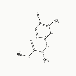 CN(Cc1ccc(F)c([N+](=O)[O-])c1)C(=O)CC(C)(C)C